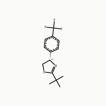 CC(C)(C)C1=N[C@@H](c2ccc(C(F)(F)F)cc2)CO1